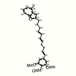 COc1cc(C=CCCC=CC=CCCCc2cc3c(C)cccc3o2)cc(OC)c1OC